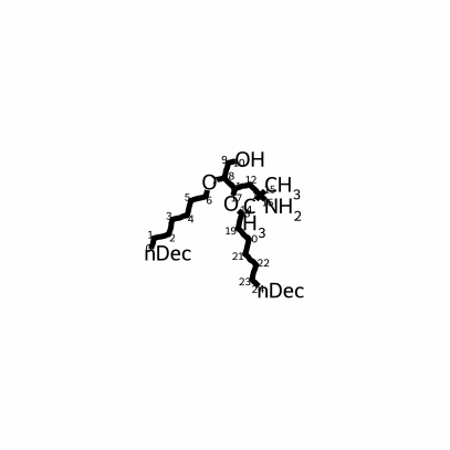 CCCCCCCCCCCCCCCCOC(CO)C(CC(C)(C)N)OCCCCCCCCCCCCCCCC